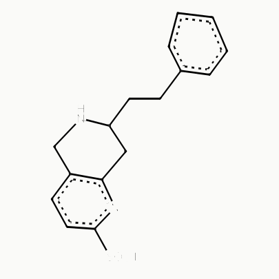 O=S(=O)(O)c1ccc2c(n1)CC(CCc1ccccc1)NC2